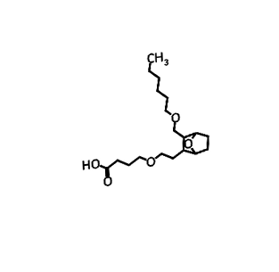 CCCCCCOCC1C2CCC(O2)C1CCOCCCC(=O)O